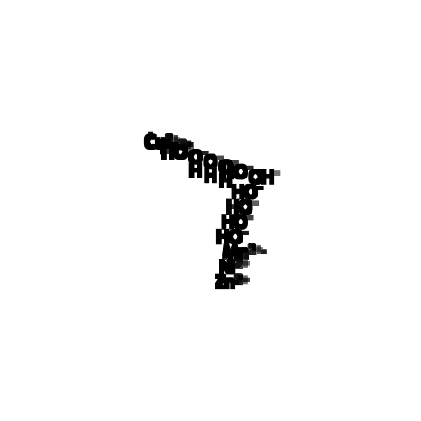 [Cu+2].[Fe+2].[Mn+2].[Ni+2].[OH-].[OH-].[OH-].[OH-].[OH-].[OH-].[OH-].[OH-].[OH-].[OH-].[Zn+2]